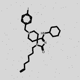 C=CCCCCCN1C(=O)N=C(NC2CCCCC2)C12CCN(Cc1ccc(I)cc1)CC2